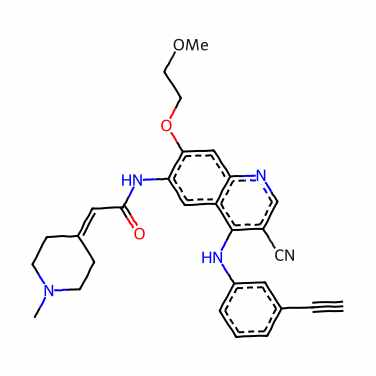 C#Cc1cccc(Nc2c(C#N)cnc3cc(OCCOC)c(NC(=O)C=C4CCN(C)CC4)cc23)c1